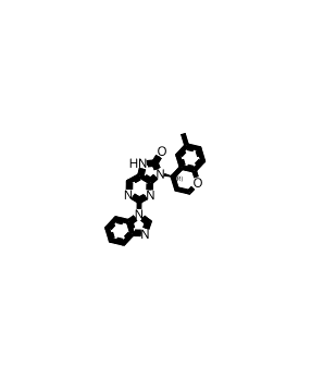 Cc1ccc2c(c1)[C@H](n1c(=O)[nH]c3cnc(-n4cnc5ccccc54)nc31)CCO2